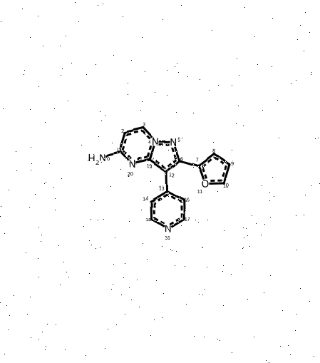 Nc1ccn2nc(-c3ccco3)c(-c3ccncc3)c2n1